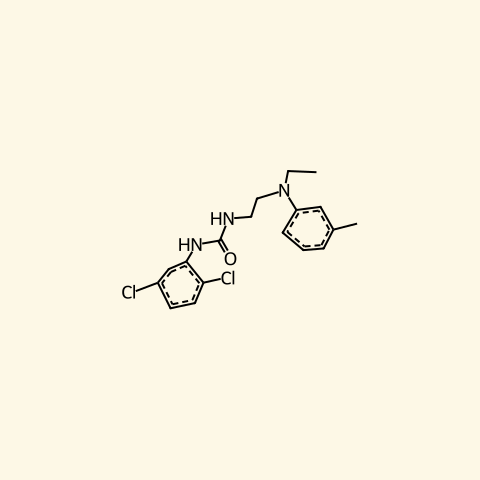 CCN(CCNC(=O)Nc1cc(Cl)ccc1Cl)c1cccc(C)c1